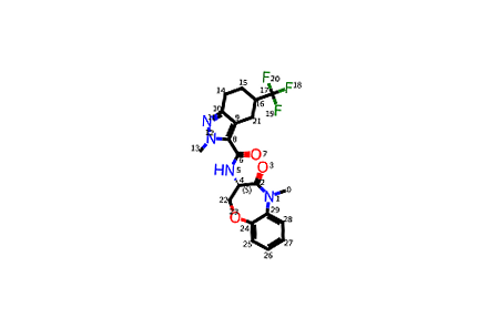 CN1C(=O)[C@@H](NC(=O)c2c3c(nn2C)CCC(C(F)(F)F)C3)COc2ccccc21